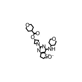 O=C(OC1CN(c2nc3c(c(NC4CCOCC4)n2)[S@+]([O-])CC3)C1)C1CCOCC1